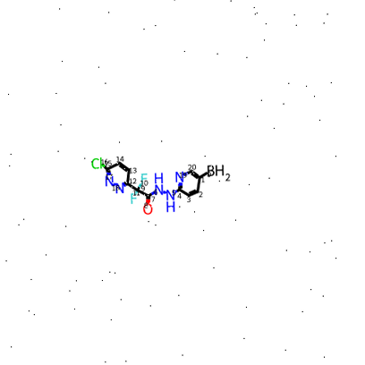 Bc1ccc(NNC(=O)C(F)(F)c2ccc(Cl)nn2)nc1